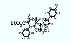 CCOC(=O)C1=C(C)NC(C)(Nc2nc(-c3ccc(C)cc3)cs2)C(C(=O)OCC)C1c1ccccc1